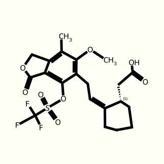 COc1c(C)c2c(c(OS(=O)(=O)C(F)(F)F)c1CC=C1CCCC[C@H]1CC(=O)O)C(=O)OC2